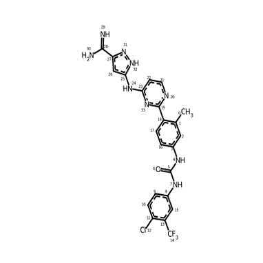 Cc1cc(NC(=O)Nc2ccc(Cl)c(C(F)(F)F)c2)ccc1-c1nccc(Nc2cc(C(=N)N)n[nH]2)n1